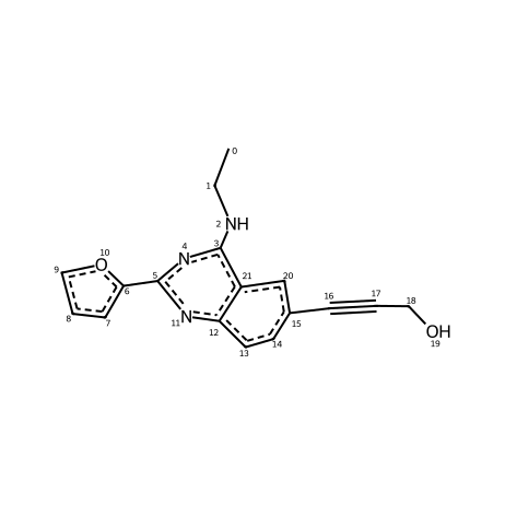 CCNc1nc(-c2ccco2)nc2ccc(C#CCO)cc12